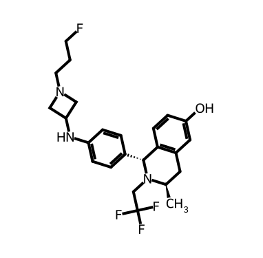 C[C@@H]1Cc2cc(O)ccc2[C@@H](c2ccc(NC3CN(CCCF)C3)cc2)N1CC(F)(F)F